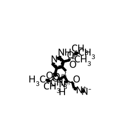 CC(C)(C)OC(=O)c1cnc(N)c(C(=O)OC(C)(C)C)c1C[C@H]1C(=O)N[C@@H]1C(=O)C=[N+]=[N-]